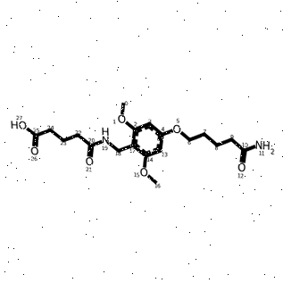 COc1cc(OCCCCC(N)=O)cc(OC)c1CNC(=O)CCCC(=O)O